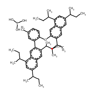 CCC(C)c1cc(C(C)CC)c2cc(Oc3ccc(C)cc3-c3cc4c(C(C)CC)cc(C(C)CC)cc4cc3C(C)CC)c(C(C)CC)cc2c1.OP(O)O